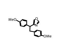 COc1ccc(CC(c2ccc(OC)cc2)c2cocn2)cc1